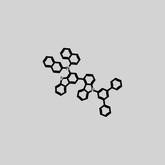 c1ccc(-c2cc(-c3ccccc3)cc(-n3c4ccccc4c4c(-c5cc(N(c6ccc7ccccc7c6)c6cccc7ccccc67)c6sc7ccccc7c6c5)cccc43)c2)cc1